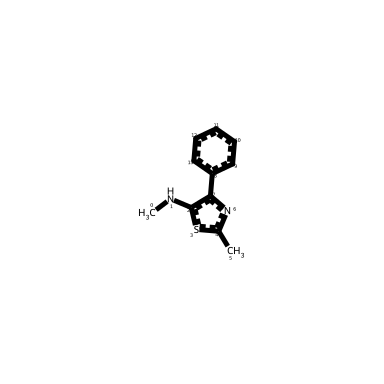 CNc1sc(C)nc1-c1ccccc1